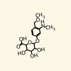 CNc1cc(OC2OC(C(=O)O)C(O)C(O)C2O)ccc1COC